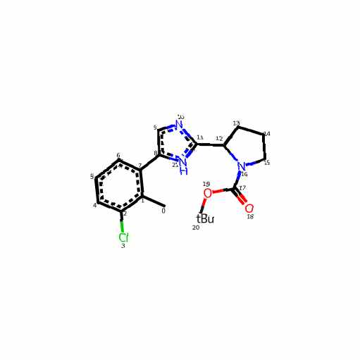 Cc1c(Cl)cccc1-c1cnc(C2CCCN2C(=O)OC(C)(C)C)[nH]1